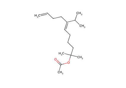 C=CCCC(=CCCCC(C)(C)OC(C)=O)C(C)C